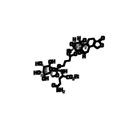 CCOC(=O)C(CCC(N)=O)NP(=O)(OCCCC(=O)O[C@@H]1[C@@]2(C(C)C)O[C@H]2[C@@H]2O[C@]23[C@]12O[C@H]2CC1C2=C(CC[C@@]13C)C(=O)OC2)OC[C@H]1OC(O)[C@@H](O)[C@@H](O)[C@@H]1O